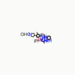 Cc1cc(Nc2ncc(C)c(Nc3ccccc3NC(C)C)n2)c(OC(C)C)cc1C1CCN(C=O)CC1